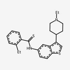 CCc1ccccc1C(=S)Nc1ccc2scc(C3CCN(CC)CC3)c2c1